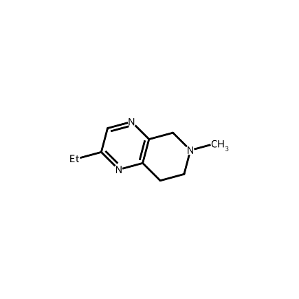 CCc1cnc2c(n1)CCN(C)C2